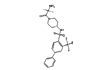 CC(C)(N)C(=O)N1CCC(NS(=O)(=O)c2ccc(-c3ccccc3)cc2C(F)(F)F)CC1